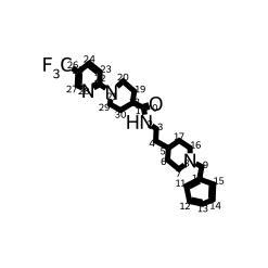 O=C(NCCC1CCN(Cc2ccccc2)CC1)C1CCN(c2ccc(C(F)(F)F)cn2)CC1